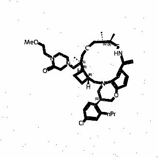 C=C1NS[C@H](C)[C@@H](C)CCC[C@](C)(CN2CCN(CCOC)C(=O)C2)[C@@H]2CC[C@H]2CN2C[C@H](c3ccc(Cl)cc3CCC)COc3ccc1cc32